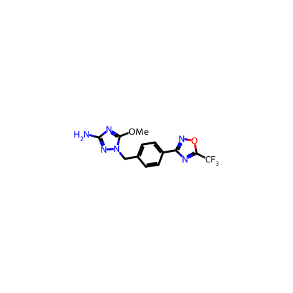 COc1nc(N)nn1Cc1ccc(-c2noc(C(F)(F)F)n2)cc1